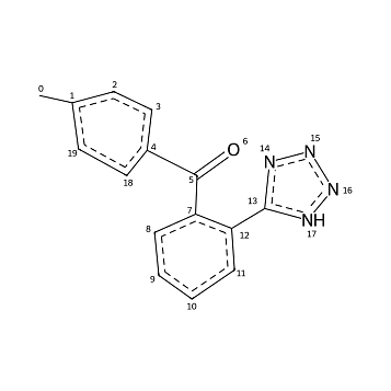 Cc1ccc(C(=O)c2ccccc2-c2nnn[nH]2)cc1